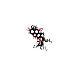 C=C(CC[C@@H](C)[C@H]1CC[C@H]2C3=C(C(=O)[C@H](O)[C@]12C)[C@@]1(C)CC[C@@H](O)[C@@H](C)[C@@H]1CC3=O)C(C)C(C)=O